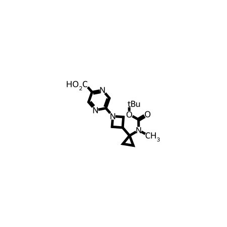 CN(C(=O)OC(C)(C)C)C1(C2CN(c3cnc(C(=O)O)cn3)C2)CC1